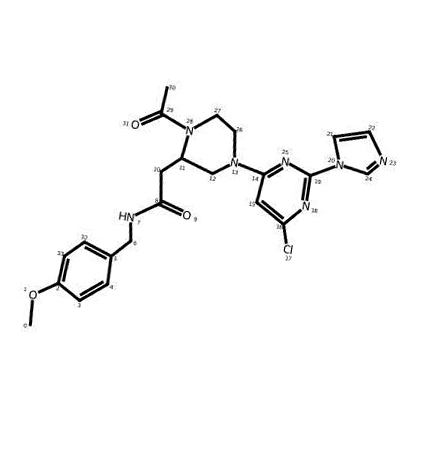 COc1ccc(CNC(=O)CC2CN(c3cc(Cl)nc(-n4ccnc4)n3)CCN2C(C)=O)cc1